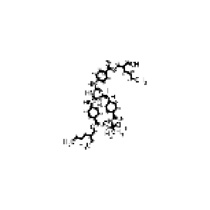 CCCCC(CC)COC(=O)C1CCC(NC2NC(NC3CCC(C(=O)NC(C)(C)C)CC3)NC(NC3CCC(C(=O)OCC(CC)CCCC)CC3)N2)CC1